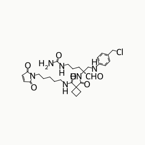 NC(=O)NCCC[C@](C=O)(CNc1ccc(CCl)cc1)NC(=O)C1(C(=O)NCCCCCN2C(=O)C=CC2=O)CCC1